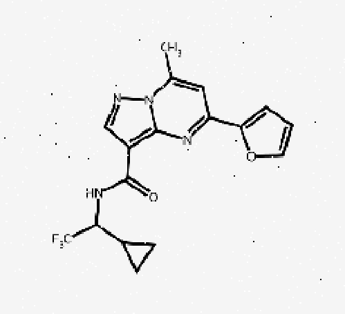 Cc1cc(-c2ccco2)nc2c(C(=O)NC(C3CC3)C(F)(F)F)cnn12